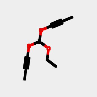 CC#COB(OC#CC)OCC